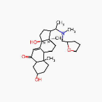 CC(C1CC[C@@]2(O)C3=CC(=O)C4CC(O)CCC4(C)C3CC[C@]12C)N(C)CC1CCCO1